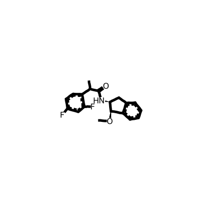 CO[C@@H]1c2ccccc2C[C@H]1NC(=O)C(C)c1ccc(F)cc1F